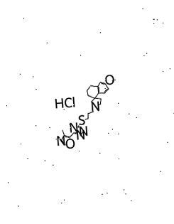 COc1ccc2c(c1)CCCC21CCN(CCCSc2nnc(-c3ocnc3C)n2C)C1.Cl